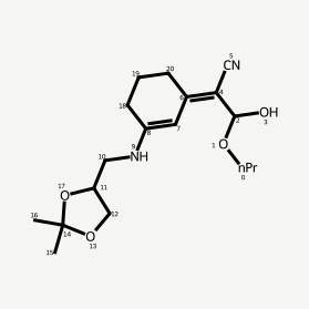 CCCOC(O)/C(C#N)=C1\C=C(NCC2COC(C)(C)O2)CCC1